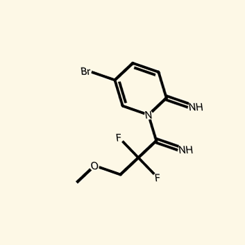 COCC(F)(F)C(=N)n1cc(Br)ccc1=N